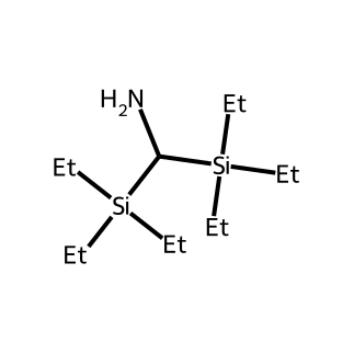 CC[Si](CC)(CC)C(N)[Si](CC)(CC)CC